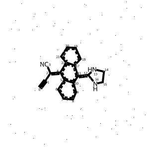 C#CC(C#N)=c1c2ccccc2c(=C2NCCN2)c2ccccc12